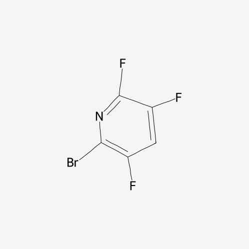 Fc1cc(F)c(Br)nc1F